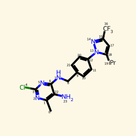 Cc1nc(Cl)nc(NCc2ccc(-n3nc(C(F)(F)F)cc3C(C)C)cc2)c1N